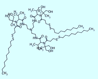 CCCCCCCCCCSSCCC(=O)N(C(C(=O)NCCN(CCNC(=O)C(C(C)C)N(C(=O)CCSSCCCCCCCCCC)C(C)(CO)CO)CCNC(=O)C(C(C)C)N(C(=O)CCSSCCCCCCCCCC)C(C)(CO)CO)C(C)C)C(C)(CO)CO